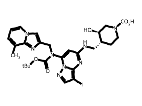 Cc1cccn2cc(CN(C(=O)OC(C)(C)C)c3cc(NC[C@H]4CCN(C(=O)O)C[C@@H]4O)nc4c(I)cnn34)nc12